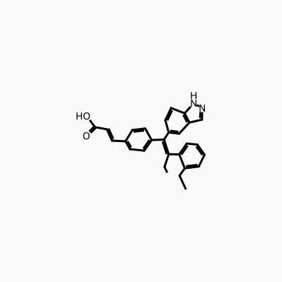 CCC(=C(c1ccc(C=CC(=O)O)cc1)c1ccc2[nH]ncc2c1)c1ccccc1CC